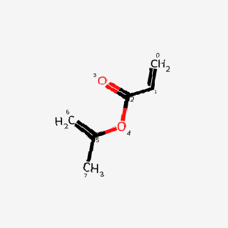 C=CC(=O)OC(=C)C